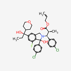 C=CCOC(=O)[C@@H](C)[C@@H](c1ccc(Cl)cc1)N1Cc2cc([C@](O)(CC)C3CCOCC3)cc(F)c2C1(O)c1ccc(Cl)cc1